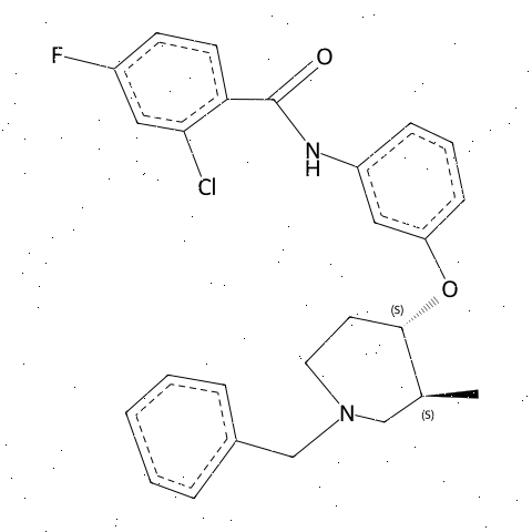 C[C@H]1CN(Cc2ccccc2)CC[C@@H]1Oc1cccc(NC(=O)c2ccc(F)cc2Cl)c1